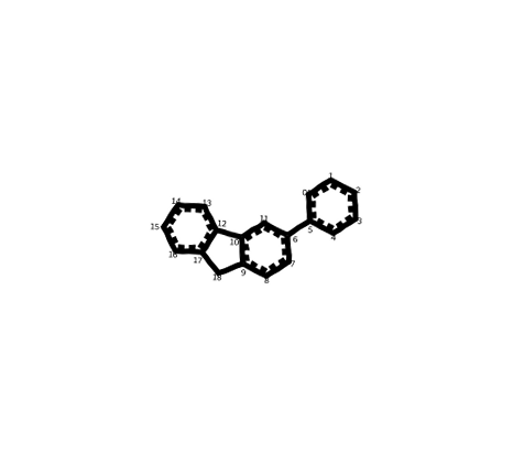 [c]1ccccc1-c1ccc2c(c1)-c1ccccc1C2